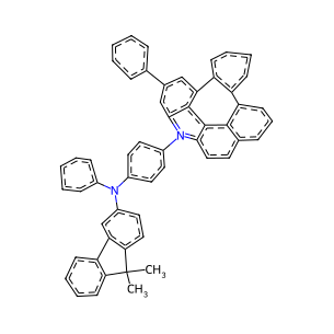 CC1(C)c2ccccc2-c2cc(N(c3ccccc3)c3ccc(-n4c5cc(-c6ccccc6)cc6c5c5c7c(cccc7ccc54)-c4ccccc4-6)cc3)ccc21